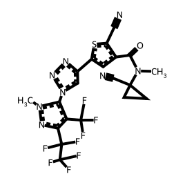 CN(C(=O)c1cc(-c2cn(-c3c(C(F)(F)F)c(C(F)(F)C(F)(F)F)nn3C)nn2)sc1C#N)C1(C#N)CC1